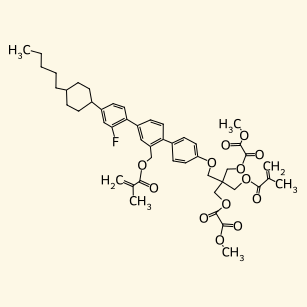 C=C(C)C(=O)OCc1cc(-c2ccc(C3CCC(CCCCC)CC3)cc2F)ccc1-c1ccc(OCC(COC(=O)C(=C)C)(COC(=O)C(=O)OC)COC(=O)C(=O)OC)cc1